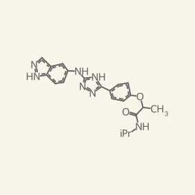 CC(C)NC(=O)C(C)Oc1ccc(-c2nnc(Nc3ccc4[nH]ncc4c3)[nH]2)cc1